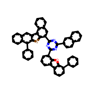 c1ccc(-c2cccc3c2oc2c(-c4nc(-c5ccc6ccccc6c5)nc(-c5cc6ccccc6c6c5sc5c(-c7ccccc7)c7ccccc7cc56)n4)cccc23)cc1